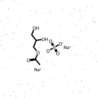 CC(=O)OCC(O)CO.O=S(=O)([O-])[O-].[Na+].[Na+]